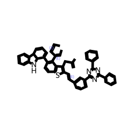 C=C(C)Cc1c(/C=C/c2cccc(-c3nc(-c4ccccc4)nc(-c4ccccc4)n3)c2)sc2ccc(C3=CC=CC4c5ccccc5NC34)c(C(/C=C\C)=C/C)c12